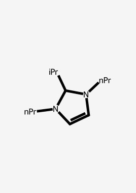 CCCN1C=CN(CCC)C1C(C)C